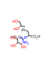 CC(C)CC(N)C(=O)O.CC(O)CO.NCC(=O)O.OCC(O)CO